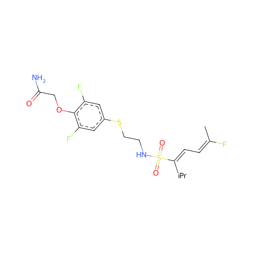 C/C(F)=C\C=C(/C(C)C)S(=O)(=O)NCCSc1cc(F)c(OCC(N)=O)c(F)c1